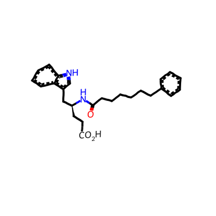 O=C(O)CC[C@@H](Cc1c[nH]c2ccccc12)NC(=O)CCCCCCc1ccccc1